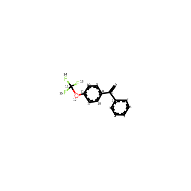 C=C(c1ccccc1)c1ccc(OC(F)(F)F)cc1